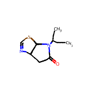 CC(C)N1C(=O)CC2N=CSC21